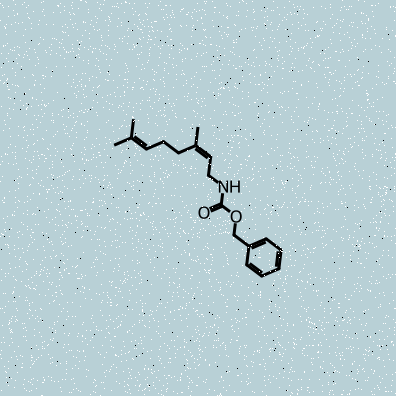 CC(C)=CCC/C(C)=C\CNC(=O)OCc1ccccc1